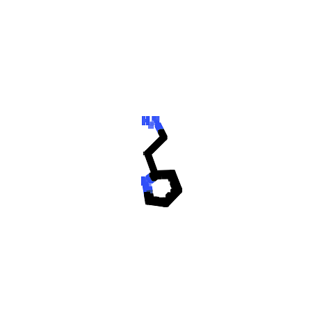 NC[CH]c1ccccn1